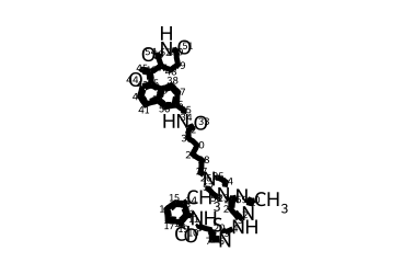 Cc1nc(Nc2ncc(C(=O)Nc3c(C)cccc3Cl)s2)cc(N2CCN(CCCCCC(=O)NCc3ccc4c(ccc5occ(C6CCC(=O)NC6=O)c54)c3)CC2)n1